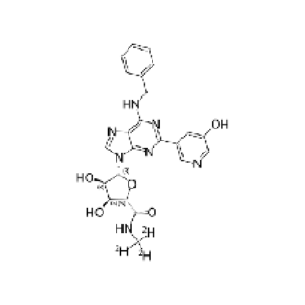 [2H]C([2H])([2H])NC(=O)[C@H]1O[C@@H](n2cnc3c(NCc4ccccc4)nc(-c4cncc(O)c4)nc32)[C@H](O)[C@@H]1O